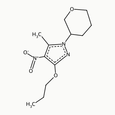 CCCOc1nn(C2CCCOC2)c(C)c1[N+](=O)[O-]